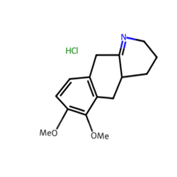 COc1ccc2c(c1OC)CC1CCCN=C1C2.Cl